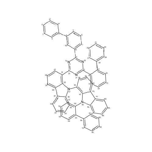 c1ccc(-c2cccc(-c3nc(-c4ccccc4-c4ccccc4)nc(-c4cccc5c6ccccc6n(-c6cccc7c8ccccc8n(-c8ccccc8-c8ccccc8)c67)c45)n3)c2)cc1